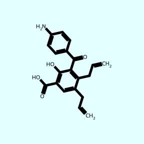 C=CCc1cc(C(=O)O)c(O)c(C(=O)c2ccc(N)cc2)c1CC=C